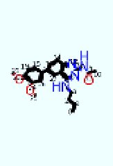 CCCCNc1nc(NC(C)=O)nc2ccc(-c3ccc(OC)c(OC)c3)cc12